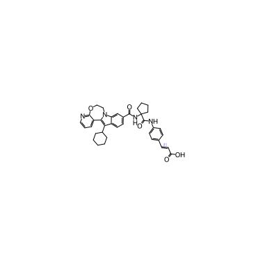 O=C(O)/C=C/c1ccc(NC(=O)C2(NC(=O)c3ccc4c(C5CCCCC5)c5n(c4c3)CCOc3ncccc3-5)CCCC2)cc1